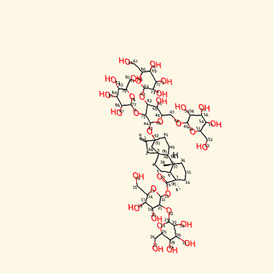 C=C1CC23CCC4[C@](C)(C(=O)OC5OC(CO)C(O)C(O)C5OC5OC(CO)C(O)C(O)C5O)CCC[C@@]4(C)[C@@H]2CC[C@]1(OC1OC(COC2OC(CO)C(O)C(O)C2O)C(O)C(OC2OC(CO)C(O)C(O)C2O)C1OC1OC(CO)C(O)C(O)C1O)C3